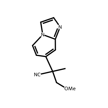 COCC(C)(C#N)c1ccn2ccnc2c1